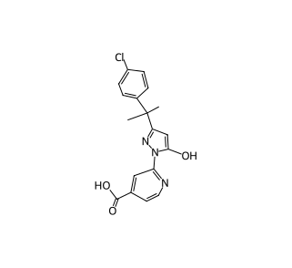 CC(C)(c1ccc(Cl)cc1)c1cc(O)n(-c2cc(C(=O)O)ccn2)n1